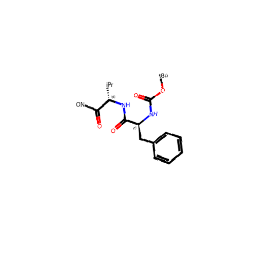 CC(C)[C@H](NC(=O)[C@H](Cc1ccccc1)NC(=O)OC(C)(C)C)C(=O)N=O